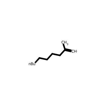 [CH]=C(C)CCCCCCCC